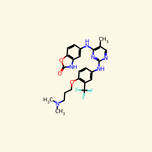 Cc1cnc(Nc2ccc(OCCCN(C)C)c(C(F)(F)F)c2)nc1Nc1ccc2oc(=O)[nH]c2c1